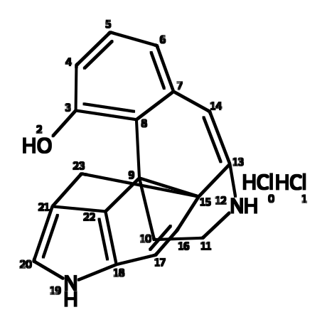 Cl.Cl.Oc1cccc2c1C13CCNC(=C2)C12C=Cc1[nH]cc(c13)C2